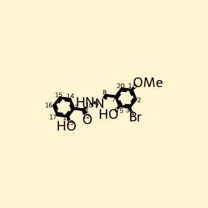 COc1cc(Br)c(O)c(/C=N/NC(=O)c2ccccc2O)c1